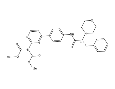 CC(C)(C)OC(=O)N(C(=O)OC(C)(C)C)c1nccc(-c2ccc(NC(=O)[C@@H](Cc3ccccc3)N3CCOCC3)cc2)n1